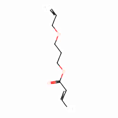 C=CCOCCCOC(=O)C=CC